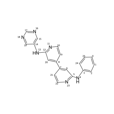 c1ccc(Nc2cc(-c3ccnc(Nc4cncnc4)c3)ccn2)cc1